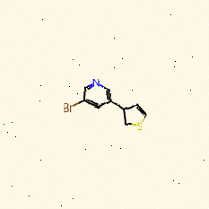 Brc1cncc(C2C=CSC2)c1